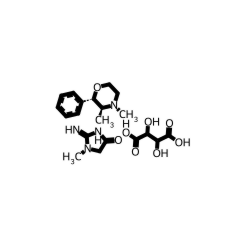 CN1CC(=O)NC1=N.C[C@H]1[C@H](c2ccccc2)OCCN1C.O=C(O)C(O)C(O)C(=O)O